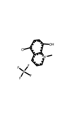 C[n+]1cccc2c(Cl)ccc(O)c21.F[B-](F)(F)F